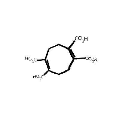 O=C(O)C1=C(C(=O)O)CCC(C(=O)O)=C(C(=O)O)CC1